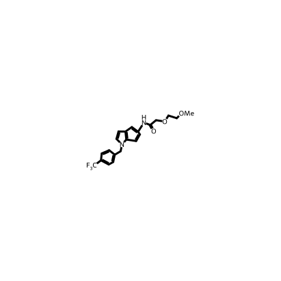 COCCOCC(=O)Nc1ccc2c(ccn2Cc2ccc(C(F)(F)F)cc2)c1